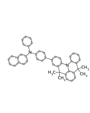 CC1(C)c2ccccc2N2c3ccc(-c4ccc(N(c5ccccc5)c5ccc6ccccc6c5)cc4)cc3C(C)(C)c3cccc1c32